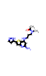 CC(=O)N(C)CCCNc1cc(N)nc2cc(-c3ccn[nH]3)sc12